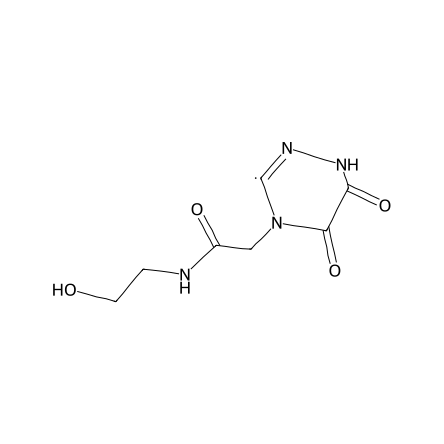 O=C(Cn1[c]n[nH]c(=O)c1=O)NCCO